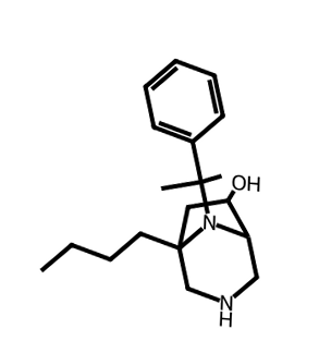 CCCCC12CNCC(C(O)C1)N2C(C)(C)c1ccccc1